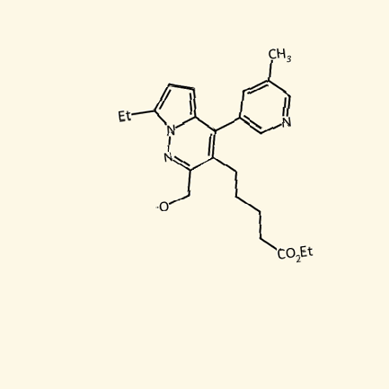 CCOC(=O)CCCCc1c(C[O])nn2c(CC)ccc2c1-c1cncc(C)c1